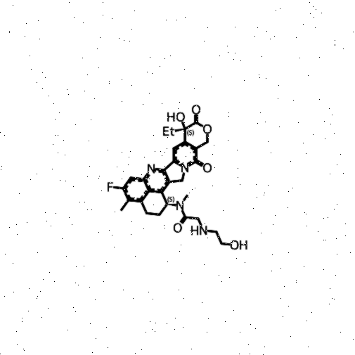 CC[C@@]1(O)C(=O)OCc2c1cc1n(c2=O)Cc2c-1nc1cc(F)c(C)c3c1c2[C@@H](N(C)C(=O)CNCCO)CC3